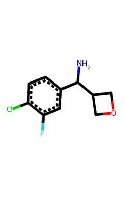 NC(c1ccc(Cl)c(F)c1)C1COC1